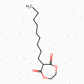 CCCCCCCCCC1C(=O)OCCOC1=O